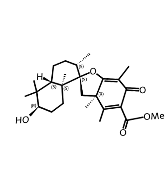 COC(=O)C1=C(C)[C@@]2(C)C[C@]3(OC2=C(C)C1=O)[C@@H](C)CC[C@H]1C(C)(C)[C@H](O)CC[C@@]13C